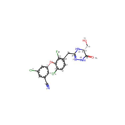 N#Cc1cc(Cl)cc(Oc2c(Cl)ccc(CC3=NNC(=O)[C@@H](CO)N3)c2F)c1